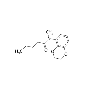 CCCCC(=O)N(C)c1cccc2c1OCCO2